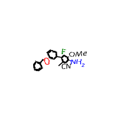 COc1c(N)c(C#N)c(C)c(-c2cccc(OCc3ccccc3)c2)c1F